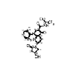 CCC(NC(=O)c1cn(-c2c(F)cncc2F)c2nc(N3C[C@@H](O)CC3=O)ccc2c1=O)C(F)(F)F